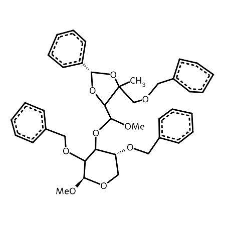 COC(OC1C(OCc2ccccc2)[C@H](OC)OC[C@H]1OCc1ccccc1)C1O[C@H](c2ccccc2)OC1(C)COCc1ccccc1